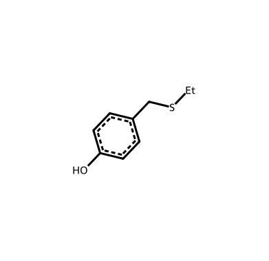 CCSCc1ccc(O)cc1